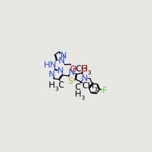 COCCn1nccc1Nc1ncc(C)c(-c2nc3c(s2)C(C)(C)N(Cc2cccc(F)c2)C3=O)n1